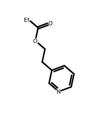 CCC(=O)OCCc1cccnc1